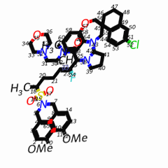 COc1ccc(CN(Cc2ccc(OC)cc2)S(=O)(=O)C(C)CC/C=C(\F)C(C(=O)N(C)CCN2CCOCC2)N2CCCC2N2CC3(CCCc4cc(Cl)ccc43)COc3ccc(C)cc32)cc1